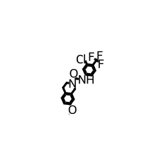 COc1ccc2c(c1)CN(C(=O)Nc1ccc(C(F)(F)F)c(Cl)c1)CC2